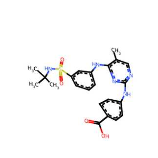 Cc1cnc(Nc2ccc(C(=O)O)cc2)nc1Nc1cccc(S(=O)(=O)NC(C)(C)C)c1